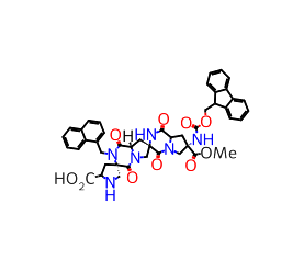 COC(=O)[C@]1(NC(=O)OCC2c3ccccc3-c3ccccc32)CC2C(=O)N[C@]3(C[C@H]4C(=O)N(Cc5cccc6ccccc56)[C@@]5(CNC(C(=O)O)C5)C(=O)N4C3)C(=O)N2C1